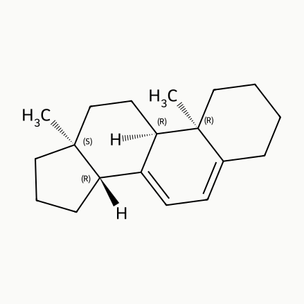 C[C@@]12CCC[C@H]1C1=CC=C3CCCC[C@]3(C)[C@@H]1CC2